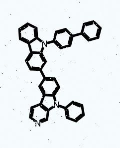 c1ccc(-c2ccc(-n3c4ccccc4c4ccc(-c5ccc6c(c5)c5ccncc5n6-c5ccccc5)cc43)cc2)cc1